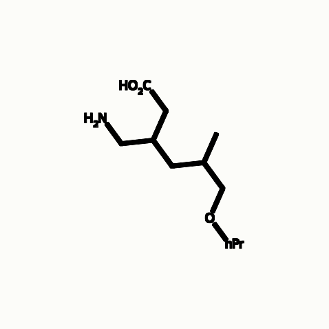 CCCOCC(C)CC(CN)CC(=O)O